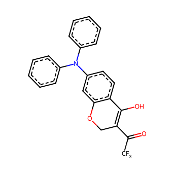 O=C(C1=C(O)c2ccc(N(c3ccccc3)c3ccccc3)cc2OC1)C(F)(F)F